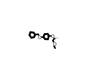 CCOC[C@@H](C)Oc1ccc(OCc2ccccc2)cc1